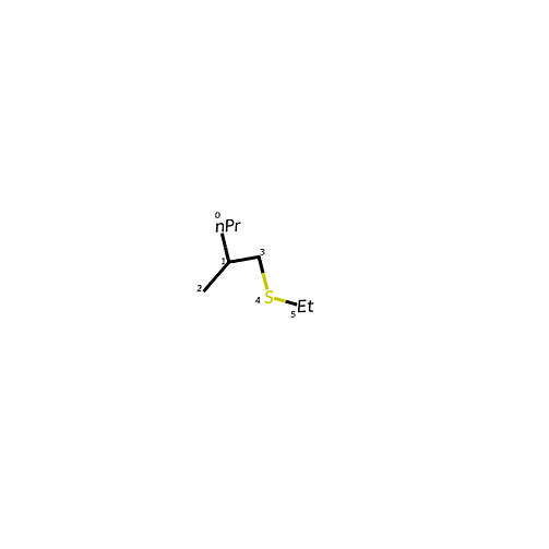 CCCC(C)CSCC